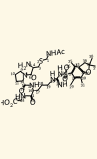 CC(=O)NCSC[C@H](N)C(=O)N1CCC[C@H]1C(=O)N[C@@H](CCCNC(=N)NS(=O)(=O)c1c(C)c(C)c2c(c1C)CC(C)(C)O2)C(=O)NCC(=O)O